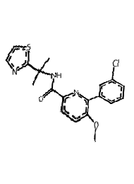 COc1ccc(C(=O)NC(C)(C)c2nccs2)nc1-c1cccc(Cl)c1